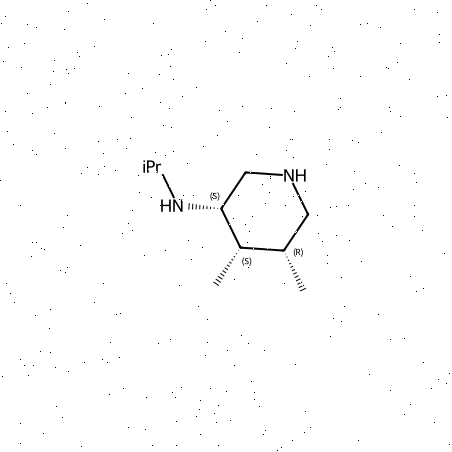 CC(C)N[C@@H]1CNC[C@H](C)[C@@H]1C